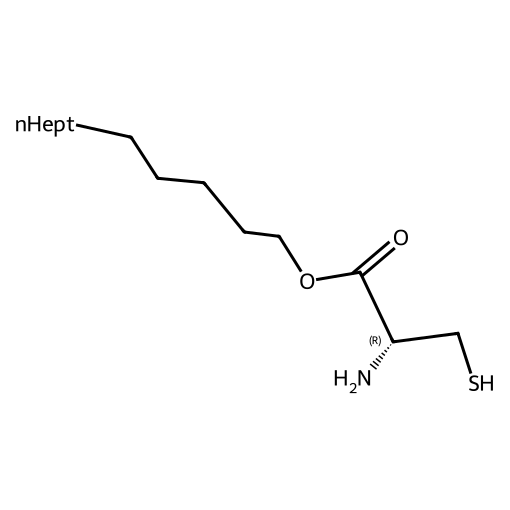 CCCCCCCCCCCCOC(=O)[C@@H](N)CS